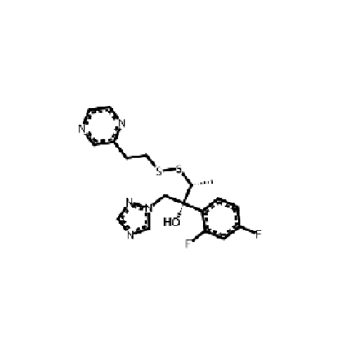 C[C@@H](SSCCc1cnccn1)[C@](O)(Cn1cncn1)c1ccc(F)cc1F